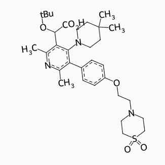 Cc1nc(C)c(C(OC(C)(C)C)C(=O)O)c(N2CCC(C)(C)CC2)c1-c1ccc(OCCN2CCS(=O)(=O)CC2)cc1